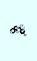 O=C1N(C(c2ccc(Br)cn2)C(F)(F)F)CCC12CCOCC2